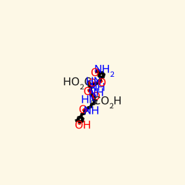 Cc1cc(CCC(=O)NCCCC[C@@H](NC(=O)CNC(=O)C(CCC(=O)O)NC(=O)CNC(=O)c2cccc(C(N)=O)c2)C(=O)O)ccc1O